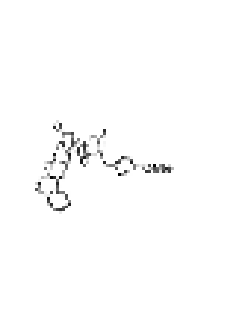 C=CCN(C(=O)NCc1ccc(OC)cc1)N1CC(=O)N2CC(=O)N(Cc3cccc4ccccc34)C[C@@H]21